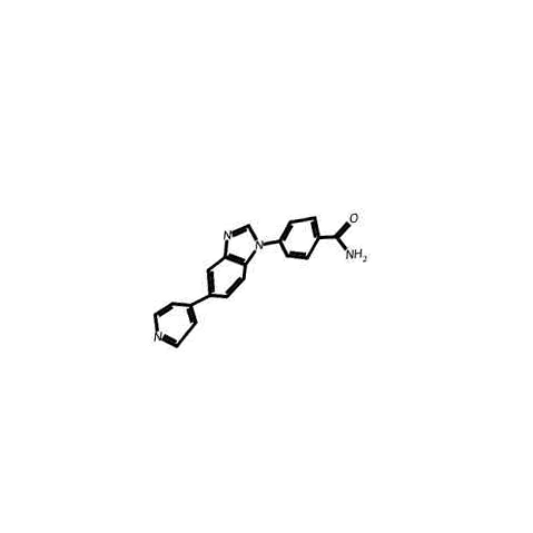 NC(=O)c1ccc(-n2cnc3cc(-c4ccncc4)ccc32)cc1